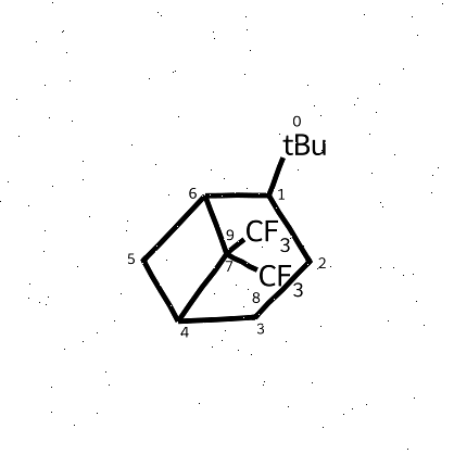 CC(C)(C)C1CCC2CC1C2(C(F)(F)F)C(F)(F)F